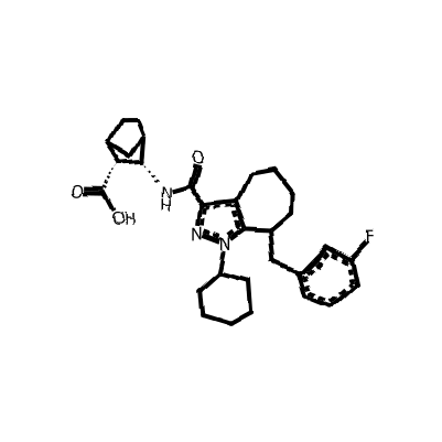 O=C(N[C@H]1C2CCC(C2)[C@H]1C(=O)O)c1nn(C2CCCCC2)c2c1CCCCC2Cc1cccc(F)c1